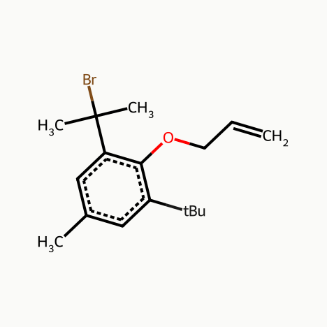 C=CCOc1c(C(C)(C)C)cc(C)cc1C(C)(C)Br